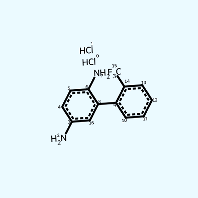 Cl.Cl.Nc1ccc(N)c(-c2ccccc2C(F)(F)F)c1